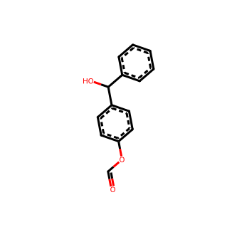 O=COc1ccc(C(O)c2ccccc2)cc1